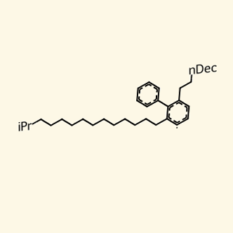 CCCCCCCCCCCCc1cc[c]c(CCCCCCCCCCCCC(C)C)c1-c1ccccc1